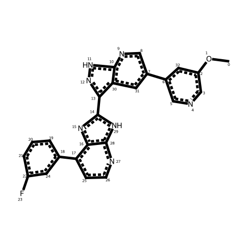 COc1cncc(-c2cnc3[nH]nc(-c4nc5c(-c6cccc(F)c6)ccnc5[nH]4)c3c2)c1